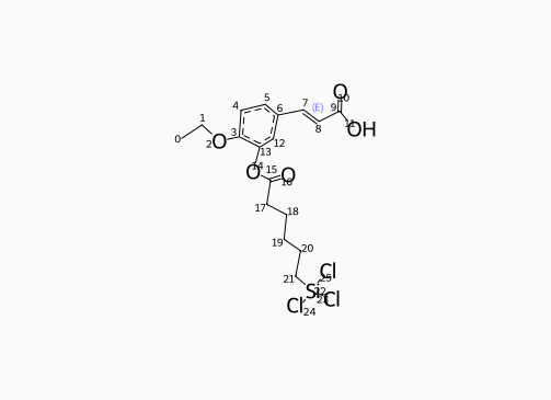 CCOc1ccc(/C=C/C(=O)O)cc1OC(=O)CCCCC[Si](Cl)(Cl)Cl